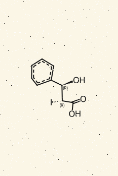 O=C(O)[C@H](I)[C@H](O)c1ccccc1